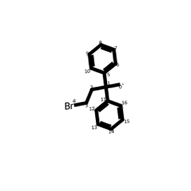 [CH2]C(CCBr)(c1ccccc1)c1ccccc1